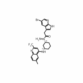 Cc1ccc2nc(C(F)(F)F)cc(N[C@H]3CCC[C@@H](N(N)C(=O)Cc4c[nH]c5ncc(Br)cc45)C3)c2c1